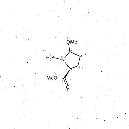 COC(=O)[C@@H]1CCC(OC)N1P